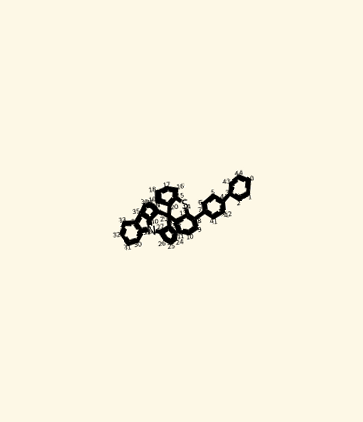 c1ccc(-c2ccc(-c3cccc4c3Sc3ccccc3C43c4ccccc4-n4c5ccccc5c5cccc3c54)cc2)cc1